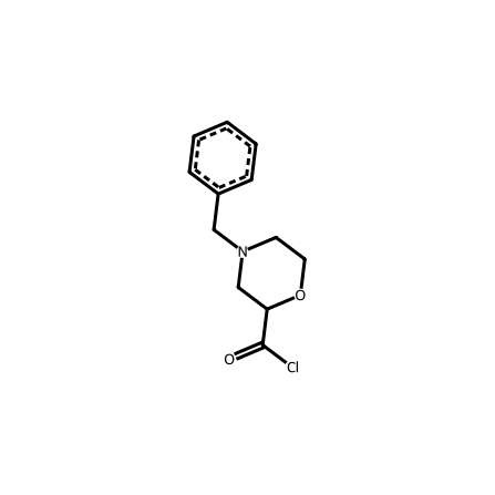 O=C(Cl)C1CN(Cc2ccccc2)CCO1